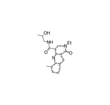 CCn1cc(C(=O)NCC(C)O)c2nc3c(C)cccc3cc2c1=O